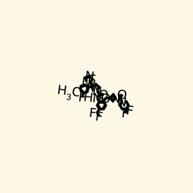 Cc1ccc(C2(c3ncns3)CCN(C(=O)Nc3cc(C(F)F)ccc3OC3CN(C(=O)N4CCC(F)(F)CC4)C3)C2)cc1F